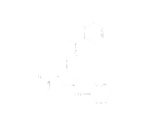 CC([CH]C(=O)Nc1ccccn1)(CCNC(=O)c1ccccn1)C(N)=O